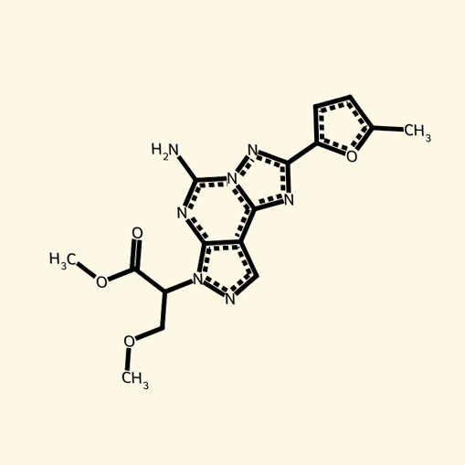 COCC(C(=O)OC)n1ncc2c1nc(N)n1nc(-c3ccc(C)o3)nc21